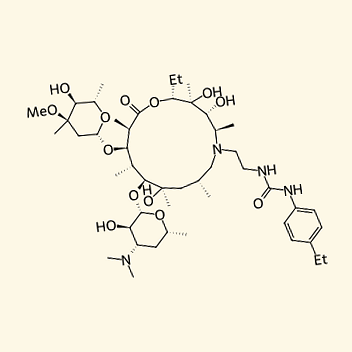 CCc1ccc(NC(=O)NCCN2C[C@H](C)C[C@@](C)(O)[C@@H](O[C@@H]3O[C@H](C)C[C@H](N(C)C)[C@H]3O)[C@H](C)[C@@H](O[C@@H]3C[C@@](C)(OC)[C@@H](O)[C@H](C)O3)[C@@H](C)C(=O)O[C@H](CC)[C@@](C)(O)[C@H](O)[C@H]2C)cc1